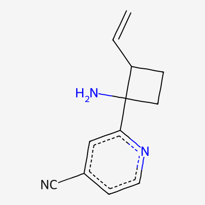 C=CC1CCC1(N)c1cc(C#N)ccn1